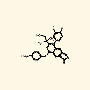 CCOC(=O)c1ccc(Oc2nc(C(C)(C)CO)c(-c3ccc(F)c(F)c3)c3cc4cn[nH]c4cc23)cc1